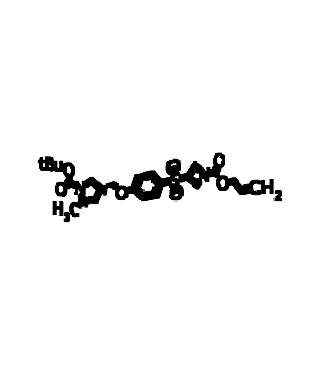 C=CCOC(=O)N1CC(S(=O)(=O)c2ccc(OC[C@H]3C[C@H](C)N(C(=O)OC(C)(C)C)C3)cc2)C1